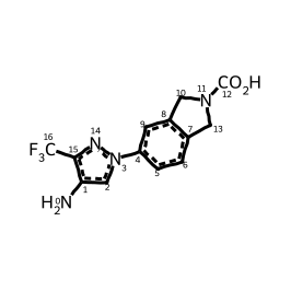 Nc1cn(-c2ccc3c(c2)CN(C(=O)O)C3)nc1C(F)(F)F